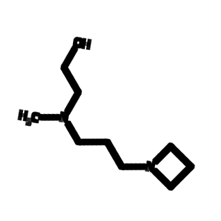 CN(CCO)CCCN1CCC1